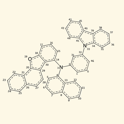 c1cc(N(c2cccc3ccccc23)c2cccc3oc4c5ccccc5ccc4c23)cc(-n2c3ccccc3c3ccccc32)c1